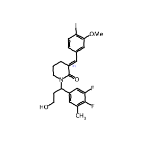 COc1cc(/C=C2\CCCN(C(CCO)c3cc(C)c(F)c(F)c3)C2=O)ccc1I